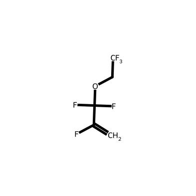 C=C(F)C(F)(F)OCC(F)(F)F